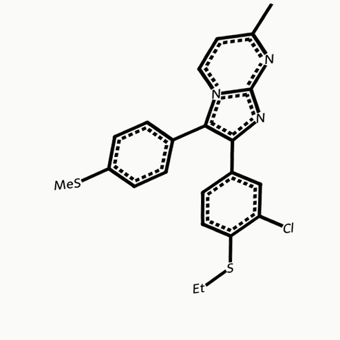 CCSc1ccc(-c2nc3nc(C)ccn3c2-c2ccc(SC)cc2)cc1Cl